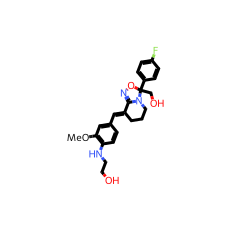 COc1cc(/C=C2\CCCN3C2=NOC3(CO)c2ccc(F)cc2)ccc1NCCO